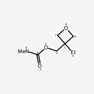 CCC1(COC(=O)NC)COC1